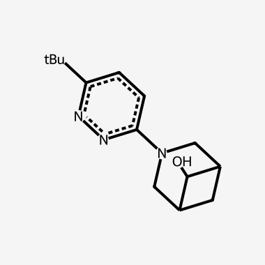 CC(C)(C)c1ccc(N2CC3CC(C2)C3O)nn1